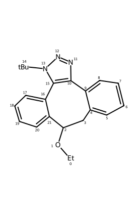 CCOC1Cc2ccccc2-c2nnn(C(C)(C)C)c2-c2ccccc21